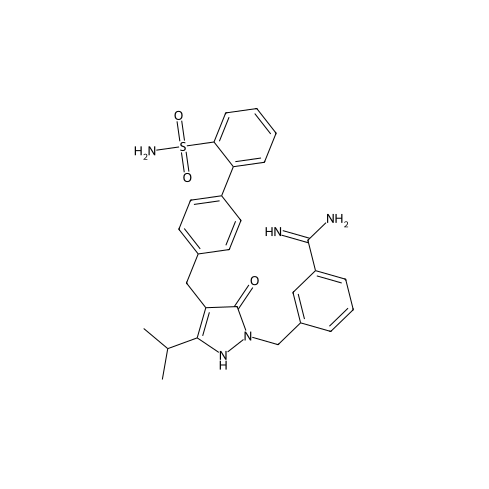 CC(C)c1[nH]n(Cc2cccc(C(=N)N)c2)c(=O)c1Cc1ccc(-c2ccccc2S(N)(=O)=O)cc1